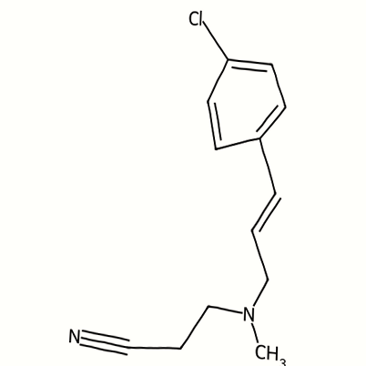 CN(CC=Cc1ccc(Cl)cc1)CCC#N